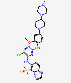 COc1cc(N2CCC(N3CCN(C)CC3)CC2)ccc1Nc1ncc(Cl)c(Nc2ccc3nccnc3c2P(C)(C)=O)n1